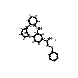 N/C(=C\Cc1ccccc1)c1ccc2c(c1)Nc1ccccc1-c1cccc-2c1